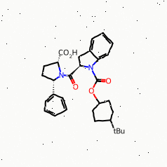 CC(C)(C)C1CCC(OC(=O)N2c3ccccc3C[C@@H]2C(=O)N2[C@@H](C(=O)O)CC[C@H]2c2ccccc2)CC1